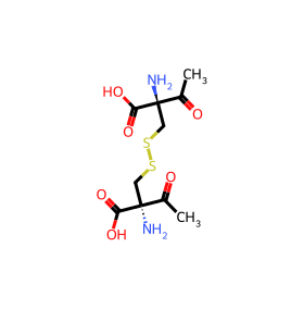 CC(=O)[C@](N)(CSSC[C@@](N)(C(C)=O)C(=O)O)C(=O)O